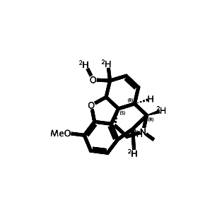 [2H]OC1([2H])C=C[C@@H]2[C@@]34CCN(C)[C@]2([2H])C([2H])([2H])c2ccc(OC)c(c23)OC14